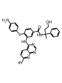 CC(C)c1ccc2c(Nc3cc(C(=O)NC(C)(CCO)c4ccccc4)ccc3Sc3ccc(N)cc3)ncnc2n1